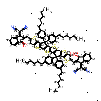 CCCCCCc1ccc(C2(c3ccc(CCCCCC)cc3)c3c(sc4cc(/C=C5\C(=O)c6ccccc6C5=C(C#N)C#N)sc34)-c3sc4c5c(sc4c32)-c2sc3cc(/C=C4/C(=C(C#N)C#N)c6ccccc6C4O)sc3c2C5(c2ccc(CCCCCC)cc2)c2ccc(CCCCCC)cc2)cc1